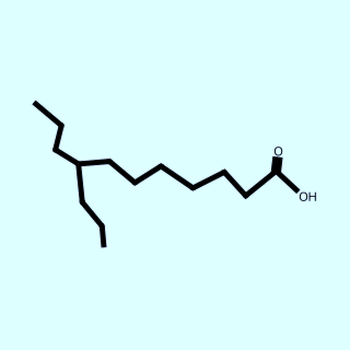 CCCC(CCC)CCCCCCC(=O)O